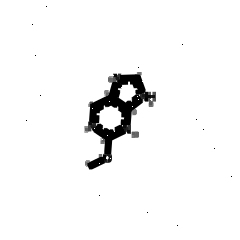 COc1ncc2nc[nH]c2n1